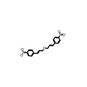 O=[N+]([O-])c1ccc(C=CCOCC=Cc2ccc([N+](=O)[O-])cc2)cc1